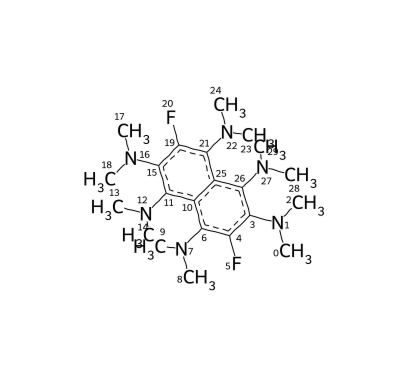 CN(C)c1c(F)c(N(C)C)c2c(N(C)C)c(N(C)C)c(F)c(N(C)C)c2c1N(C)C